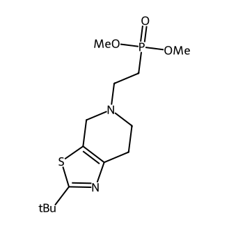 COP(=O)(CCN1CCc2nc(C(C)(C)C)sc2C1)OC